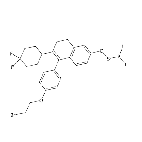 FC1(F)CCC(C2=C(c3ccc(OCCBr)cc3)c3ccc(OSP(I)I)cc3CC2)CC1